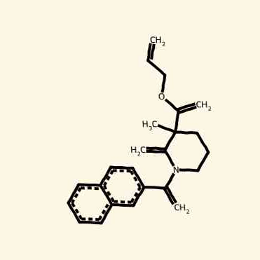 C=CCOC(=C)C1(C)CCCN(C(=C)c2ccc3ccccc3c2)C1=C